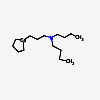 CCCCN(CCCC)CC[CH2][Ga]1[CH2]CC[CH2]1